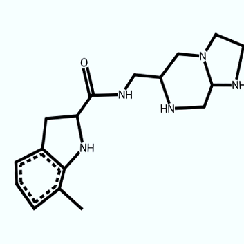 Cc1cccc2c1NC(C(=O)NCC1CN3CCNC3CN1)C2